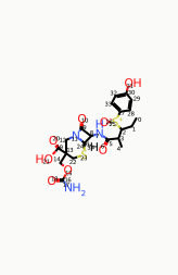 CCC(C(C)C(=O)NC1C(=O)N2CC(COC(N)=O)(C(=O)O)CS[C@H]12)[S+]([O-])c1ccc(O)cc1